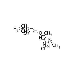 Cc1cc(-c2nc(Cl)nc3c2ncn3C)cnc1OCCC1CCN(C(=O)OC(C)(C)C)CC1